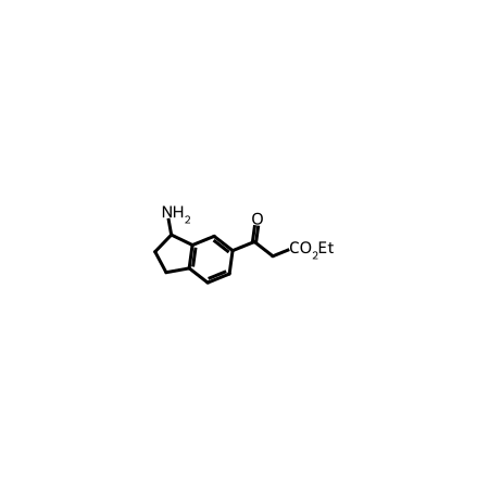 CCOC(=O)CC(=O)c1ccc2c(c1)C(N)CC2